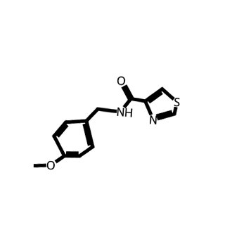 COc1ccc(CNC(=O)c2cscn2)cc1